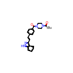 CC(C)(C)C(=O)N1CCN(C(=O)c2ccc(C=Cc3n[nH]c4ccccc34)cc2)CC1